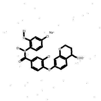 CCOc1cc(Cl)ccc1N(CC)C(=O)c1ccc(Oc2ccc3c(c2)OCCC3C(=O)[O-])c(Cl)c1.[Na+]